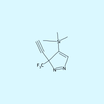 C#CC1(C(F)(F)F)N=NC=C1[Si](C)(C)C